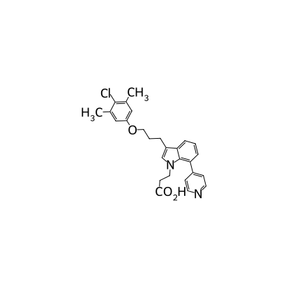 Cc1cc(OCCCc2cn(CCC(=O)O)c3c(-c4ccncc4)cccc23)cc(C)c1Cl